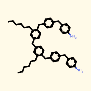 CCCCCCc1cc(Cc2ccc(Cc3ccc(Cc4ccc(N)cc4)cc3)c(CCCCCC)c2)ccc1Cc1ccc(Cc2ccc(N)cc2)cc1